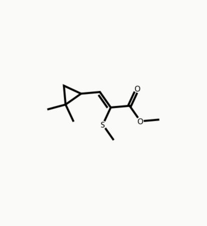 COC(=O)C(=CC1CC1(C)C)SC